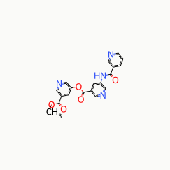 COC(=O)c1cncc(OC(=O)c2cncc(NC(=O)c3cccnc3)c2)c1